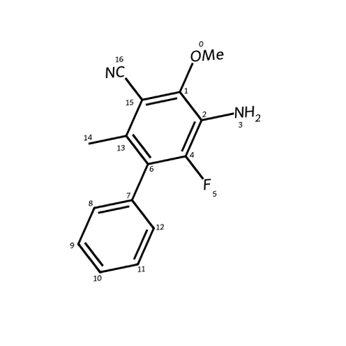 COc1c(N)c(F)c(-c2ccccc2)c(C)c1C#N